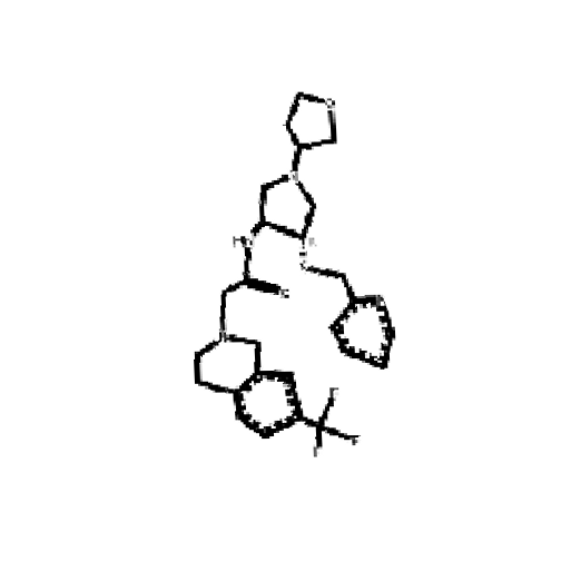 O=C(CN1CCc2ccc(C(F)(F)F)cc2C1)NC1CN(C2CCOC2)C[C@@H]1SCc1ccccn1